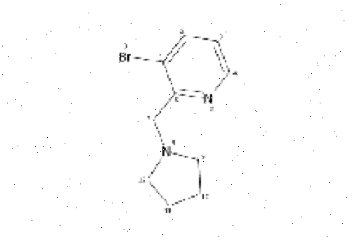 Brc1cccnc1CN1CCCC1